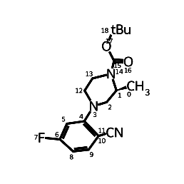 C[C@H]1CN(c2cc(F)ccc2C#N)CCN1C(=O)OC(C)(C)C